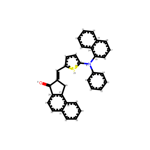 O=C1/C(=C/c2ccc(N(c3ccccc3)c3cccc4ccccc34)s2)Cc2c1ccc1ccccc21